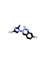 Cc1nc(S)cn1N1C=c2ccc(Cl)cc2=NN1